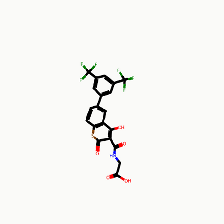 O=C(O)CNC(=O)c1c(O)c2cc(-c3cc(C(F)(F)F)cc(C(F)(F)F)c3)ccc2sc1=O